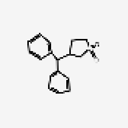 O=S1(=O)CCC(C(c2ccccc2)c2ccccc2)C1